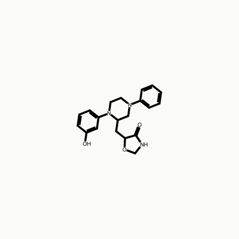 O=C1NCOC1CC1CN(c2ccccc2)CCN1c1cccc(O)c1